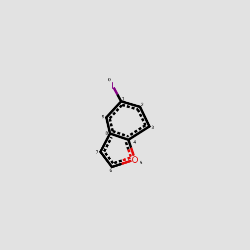 Ic1ccc2occc2c1